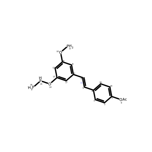 CC(=O)Oc1ccc(/C=C/c2cc(OP)cc(OPP)c2)cc1